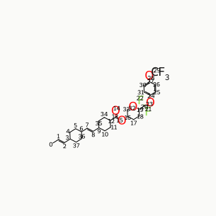 C/C=C/C1CCC(/C=C/C2CCC(C(=O)OC3CCC(C(F)(F)Oc4ccc(OC(F)(F)F)cc4)OC3)CC2)CC1